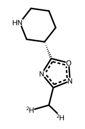 [2H]C([2H])c1noc([C@H]2CCCNC2)n1